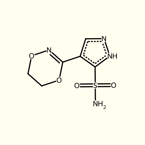 NS(=O)(=O)c1[nH]ncc1C1=NOCCO1